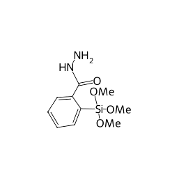 CO[Si](OC)(OC)c1ccccc1C(=O)NN